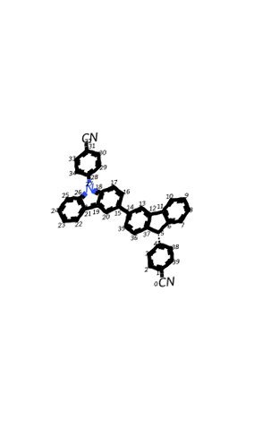 N#Cc1ccc([C@H]2c3ccccc3-c3cc(-c4ccc5c(c4)c4ccccc4n5-c4ccc(C#N)cc4)ccc32)cc1